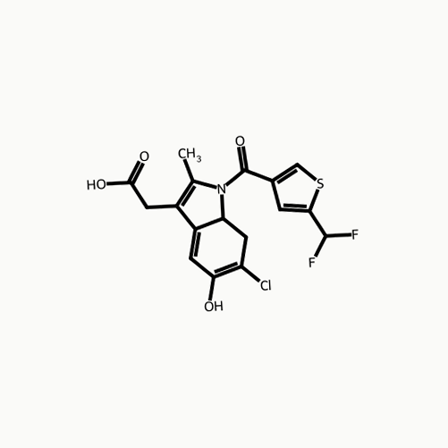 CC1=C(CC(=O)O)C2=CC(O)=C(Cl)CC2N1C(=O)c1csc(C(F)F)c1